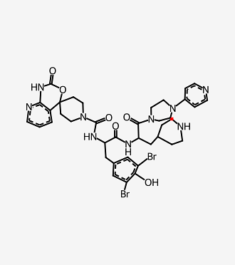 O=C1Nc2ncccc2C2(CCN(C(=O)NC(Cc3cc(Br)c(O)c(Br)c3)C(=O)NC(CC3CCNCC3)C(=O)N3CCN(c4ccncc4)CC3)CC2)O1